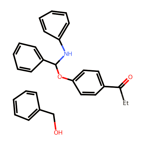 CCC(=O)c1ccc(OC(Nc2ccccc2)c2ccccc2)cc1.OCc1ccccc1